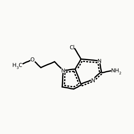 COCCn1ccc2nc(N)nc(Cl)c21